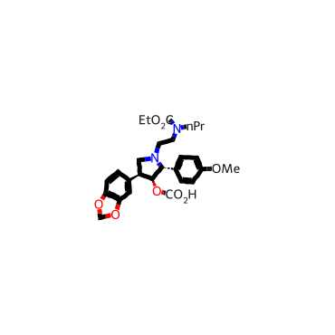 CCCN(CCN1C[C@H](c2ccc3c(c2)OCO3)[C@H](OC(=O)O)[C@H]1c1ccc(OC)cc1)C(=O)OCC